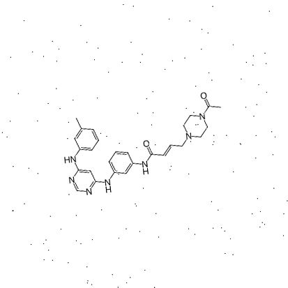 CC(=O)N1CCN(C/C=C/C(=O)Nc2cccc(Nc3cc(Nc4cccc(C)c4)ncn3)c2)CC1